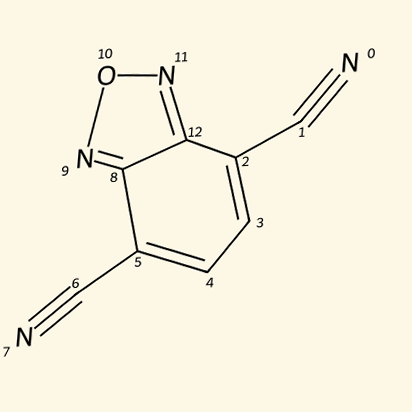 N#Cc1ccc(C#N)c2nonc12